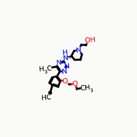 C#Cc1ccc(-c2nnc(N[C@@H]3CCCN(CCO)C3)nc2C)c(OCOCC)c1